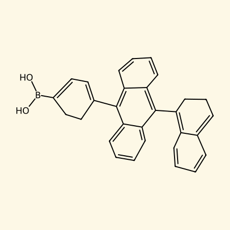 OB(O)C1=CC=C(c2c3ccccc3c(C3=c4ccccc4=CCC3)c3ccccc23)CC1